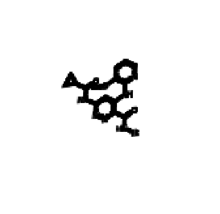 CCNC(=O)c1nnc(NC(=O)C2CC2)cc1Nc1ncccc1OC